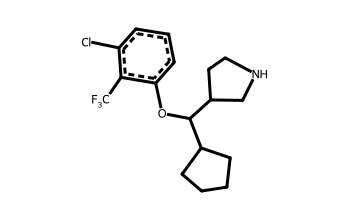 FC(F)(F)c1c(Cl)cccc1OC(C1CCCC1)C1CCNC1